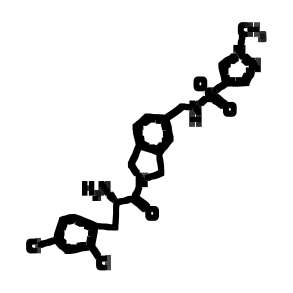 Cn1cc(S(=O)(=O)NCc2ccc3c(c2)CN(C(=O)[C@H](N)Cc2ccc(Cl)cc2Cl)C3)cn1